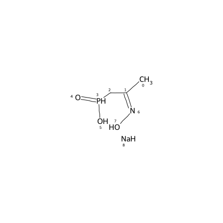 CC(C[PH](=O)O)=NO.[NaH]